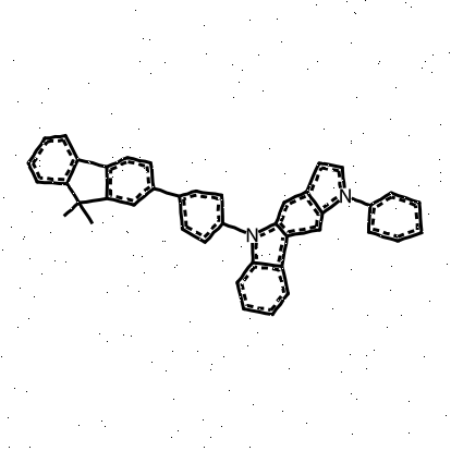 CC1(C)c2ccccc2-c2ccc(-c3ccc(-n4c5ccccc5c5cc6c(ccn6-c6ccccc6)cc54)cc3)cc21